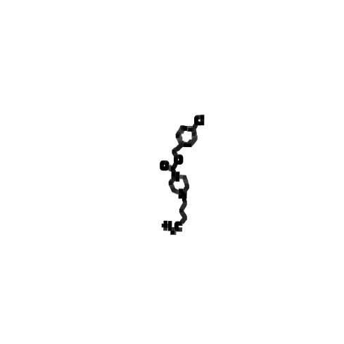 [CH2]CCCN1CCN(C(=O)OCc2ccc(Cl)cc2)CC1